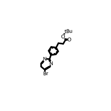 CC(C)(C)OC(=O)CCc1ccc(C2=NC=C(Br)CC=N2)cc1